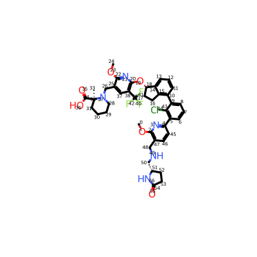 COc1nc(-c2cccc(-c3cccc4c3CC[C@@H]4Oc3nc(OC)c(CN4CCCC[C@@]4(C)C(=O)O)cc3C(F)(F)F)c2Cl)ccc1CNC[C@@H]1CCC(=O)N1